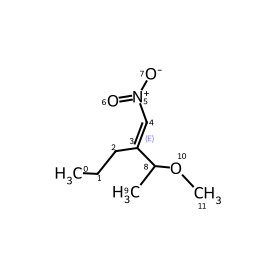 CCC/C(=C\[N+](=O)[O-])C(C)OC